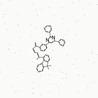 C=C(/C=C\C=C(/C)c1cccc2c1-c1ccccc1C2(C)C)c1cccc(-c2cc(-c3ccccc3)nc(-c3ccccc3)n2)c1